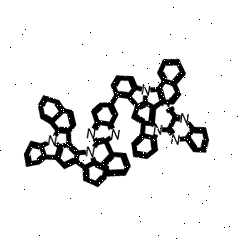 N#Cc1nc2ccccc2nc1-n1c2ccccc2c2cc3c4c(-c5ccc6nc(-n7c8ccccc8c8cc9c%10ccccc%10n%10c%11c%12ccccc%12ccc%11c(c87)c9%10)c(-c7ccccc7)nc6c5)cccc4n4c5c6ccccc6ccc5c(c21)c34